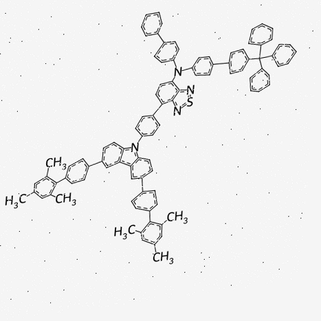 Cc1cc(C)c(-c2ccc(-c3ccc4c(c3)c3cc(-c5ccc(-c6c(C)cc(C)cc6C)cc5)ccc3n4-c3ccc(-c4ccc(N(c5ccc(-c6ccccc6)cc5)c5ccc(-c6ccc(C(c7ccccc7)(c7ccccc7)c7ccccc7)cc6)cc5)c5nsnc45)cc3)cc2)c(C)c1